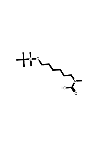 CN(CCCCCCO[Si](C)(C)C(C)(C)C)C(=O)O